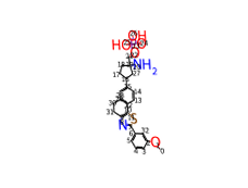 COc1cccc(-c2nc3c(s2)-c2ccc([C@H]4CC[C@](N)(COP(=O)(O)O)C4)cc2CC3)c1